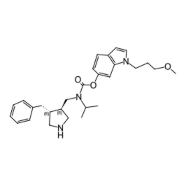 COCCCn1ccc2ccc(OC(=O)N(C[C@H]3CNC[C@@H]3Cc3ccccc3)C(C)C)cc21